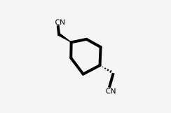 N#CC[C@H]1CC[C@H](CC#N)CC1